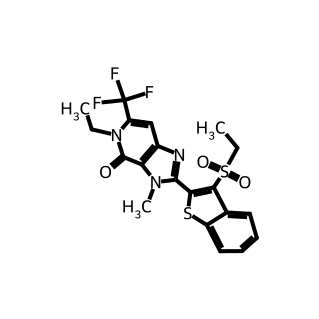 CCn1c(C(F)(F)F)cc2nc(-c3sc4ccccc4c3S(=O)(=O)CC)n(C)c2c1=O